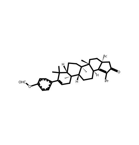 CC(=O)[C@@]12CC[C@]3(C)[C@H](CC[C@@H]4[C@@]5(C)CC=C(c6ccc(OC=O)cc6)C(C)(C)[C@@H]5CC[C@]43C)C1=C(C(C)C)C(=O)C2